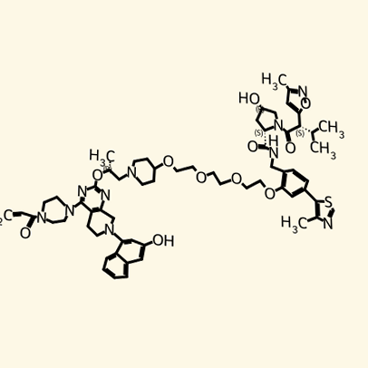 C=CC(=O)N1CCN(c2nc(O[C@H](C)CN3CCC(OCCOCCOCCOc4cc(-c5scnc5C)ccc4CNC(=O)[C@@H]4C[C@@H](O)CN4C(=O)[C@H](c4cc(C)no4)C(C)C)CC3)nc3c2CCN(c2cc(O)cc4ccccc24)C3)CC1